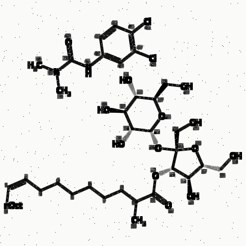 CCCCCCCC/C=C\CCCCCCC(C)C(=O)O[C@H]1[C@H](O)[C@@H](CO)O[C@@]1(CO)O[C@H]1O[C@H](CO)[C@@H](O)[C@H](O)[C@H]1O.CN(C)C(=O)Nc1ccc(Cl)c(Cl)c1